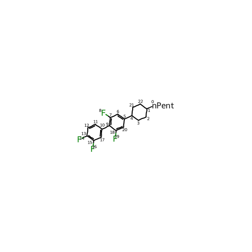 CCCCCC1CCC(c2cc(F)c(-c3ccc(F)c(F)c3)c(F)c2)CC1